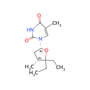 CCC1(CC)O[C@@H](n2cc(C)c(=O)[nH]c2=O)C[C@H]1C